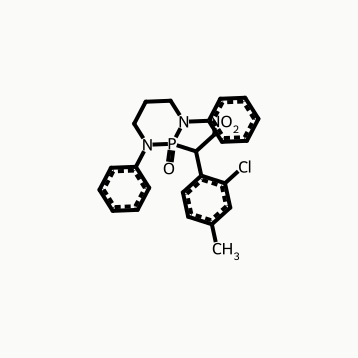 Cc1ccc(C(C[N+](=O)[O-])P2(=O)N(c3ccccc3)CCCN2c2ccccc2)c(Cl)c1